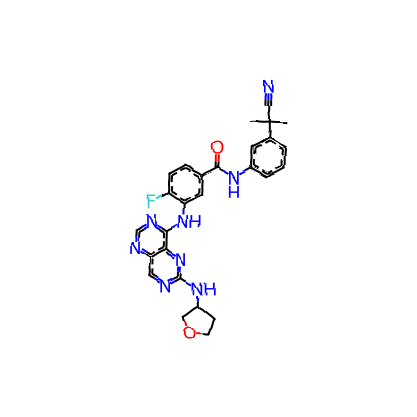 CC(C)(C#N)c1cccc(NC(=O)c2ccc(F)c(Nc3ncnc4cnc(NC5CCOC5)nc34)c2)c1